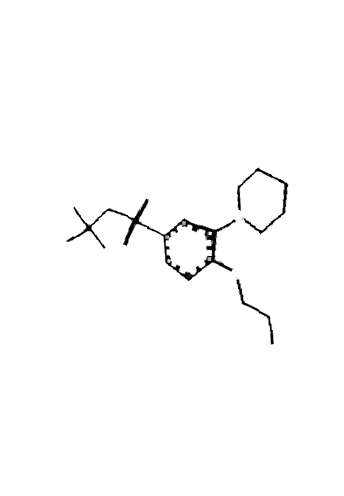 CCCOc1ccc(C(C)(C)CC(C)(C)C)cc1N1CCCCC1